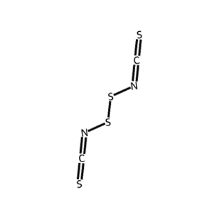 S=C=NSSN=C=S